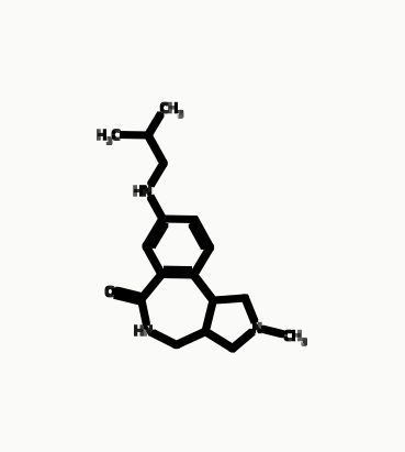 CC(C)CNc1ccc2c(c1)C(=O)NCC1CN(C)CC21